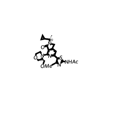 COC[C@H]1COCCN1c1nc(-c2sc(NC(C)=O)nc2C)cc2c1C(=O)N([C@@H](C)C1CC1)C2